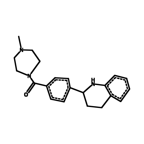 CN1CCN(C(=O)c2ccc(C3CCc4ccccc4N3)cc2)CC1